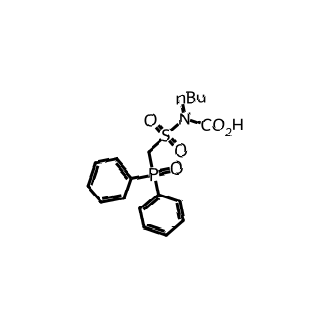 CCCCN(C(=O)O)S(=O)(=O)CP(=O)(c1ccccc1)c1ccccc1